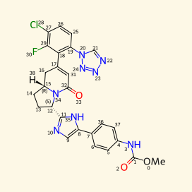 COC(=O)Nc1ccc(-c2cnc([C@@H]3CC[C@@H]4CC(c5c(-n6cnnn6)ccc(Cl)c5F)=CC(=O)N43)[nH]2)cc1